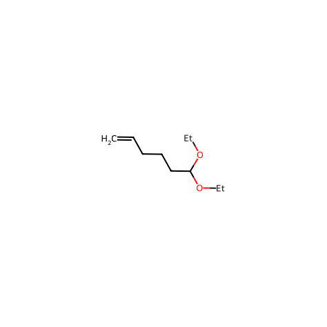 C=CCCCC(OCC)OCC